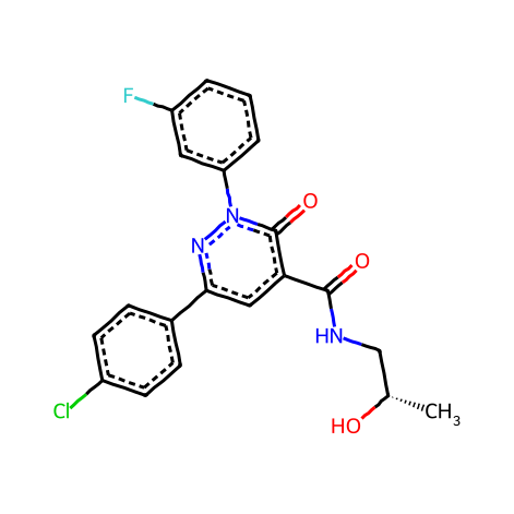 C[C@H](O)CNC(=O)c1cc(-c2ccc(Cl)cc2)nn(-c2cccc(F)c2)c1=O